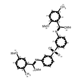 CO/C(=N\c1cccc(S(=O)(=O)c2cccc(/N=C(\OC)c3cc(C)ccc3OC)c2)c1)c1cc(OC)ccc1C